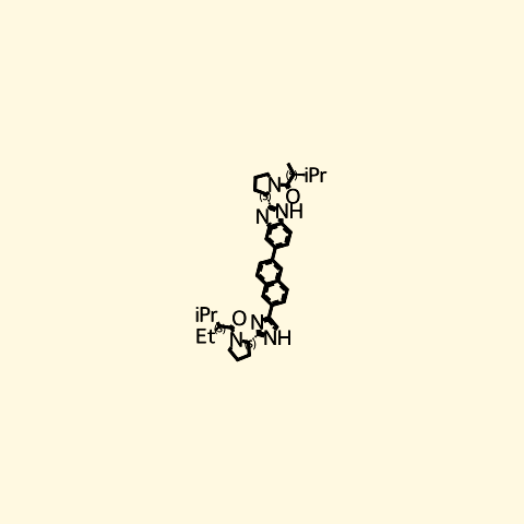 CC[C@H](C(=O)N1CCC[C@H]1c1nc(-c2ccc3cc(-c4ccc5[nH]c([C@@H]6CCCN6C(=O)[C@@H](C)C(C)C)nc5c4)ccc3c2)c[nH]1)C(C)C